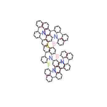 Fc1cccc(-c2ccccc2)c1N1c2cc3c(cc2B2c4ccccc4N(c4c(-c5ccccc5)cccc4-c4ccccc4)c4cc(N(c5ccccc5)c5c(-c6ccccc6)cccc5-c5ccccc5)cc1c42)B1c2ccccc2N(c2c(-c4ccccc4)cccc2-c2ccccc2)c2cc(N(c4ccccc4)c4c(-c5ccccc5)cccc4-c4ccccc4)cc(c21)S3